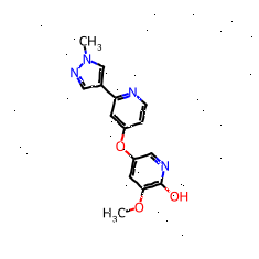 COc1cc(Oc2ccnc(-c3cnn(C)c3)c2)cnc1O